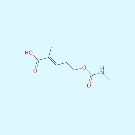 CNC(=O)OCC/C=C(\C)C(=O)O